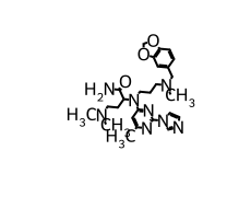 Cc1cc(N(CCCN(C)Cc2ccc3c(c2)OCO3)C(CCN(C)C)C(N)=O)nc(-n2ccnc2)n1